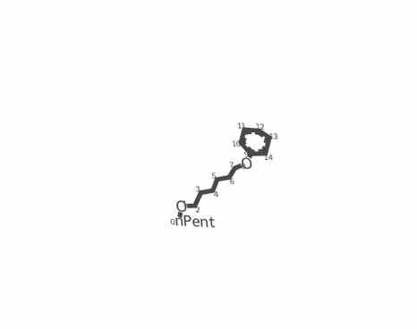 [CH2]CCCCOCCCCCCOc1ccccc1